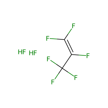 F.F.FC(F)=C(F)C(F)(F)F